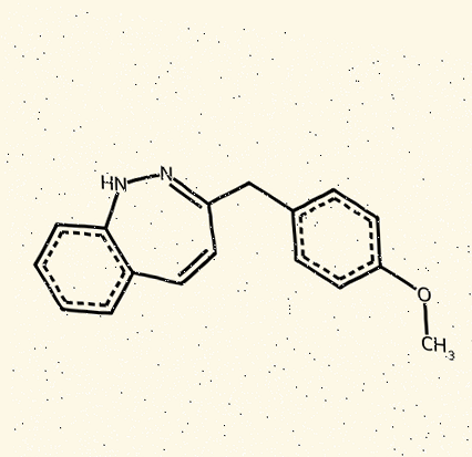 COc1ccc(CC2=NNc3ccccc3C=C2)cc1